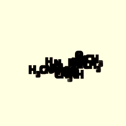 CCNCc1cncc(-c2ccc3[nH]nc(-c4ncc(C(=O)N(CC)CC)[nH]4)c3c2)c1C